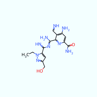 CCn1nc(CO)cc1C(=N)/N=C(\N)c1nc(C(N)=O)cc(N)c1C=N